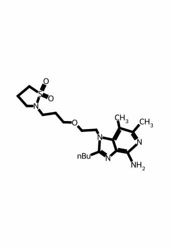 CCCCc1nc2c(N)nc(C)c(C)c2n1CCOCCCN1CCCS1(=O)=O